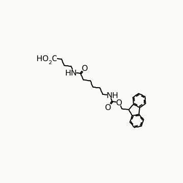 O=C(O)CCCNC(=O)CCCCCNC(=O)OCC1c2ccccc2-c2ccccc21